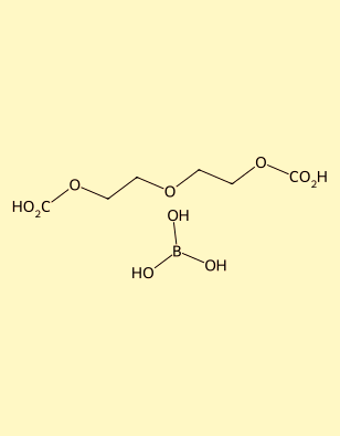 O=C(O)OCCOCCOC(=O)O.OB(O)O